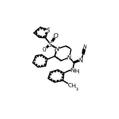 Cc1ccccc1N/C(=N/C#N)N1CCN(S(=O)(=O)c2cccs2)C(c2ccccc2)C1